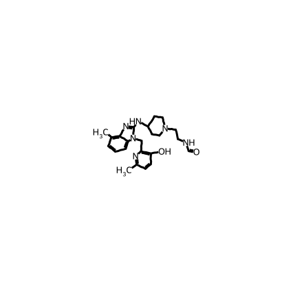 Cc1ccc(O)c(Cn2c(NC3CCN(CCNC=O)CC3)nc3c(C)cccc32)n1